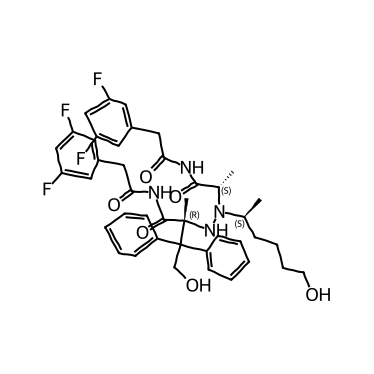 C[C@@H](CCCCO)N(N[C@@](C)(C(=O)NC(=O)Cc1cc(F)cc(F)c1)C(CO)(c1ccccc1)c1ccccc1)[C@@H](C)C(=O)NC(=O)Cc1cc(F)cc(F)c1